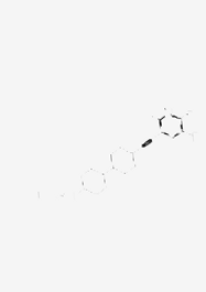 CCCCCC1CCC(C2CCC(C#Cc3cc(F)c(F)nc3F)CC2)CC1